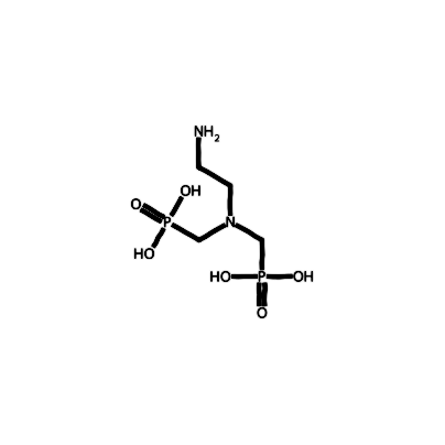 NCCN(CP(=O)(O)O)CP(=O)(O)O